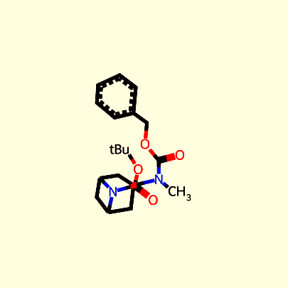 CN(C(=O)OCc1ccccc1)C1CC2CC(C1)N2C(=O)OC(C)(C)C